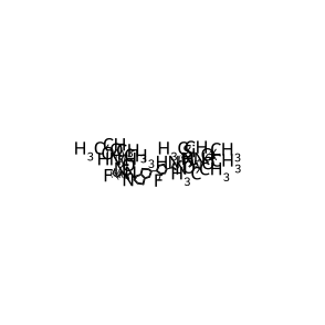 CC(C)OC(=O)N[C@H](C(=O)N1C[Si](C)(C)C[C@@H]1c1ncc(-c2ccc(-c3ccc4c(ccc5nc([C@H]6C[C@H](F)CN6C(=O)[C@@H](NC(=O)OC(C)C)C(C)C)[nH]c54)c3)c(F)c2)[nH]1)C(C)C